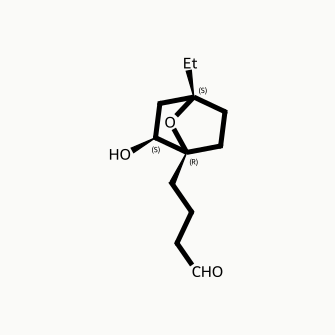 CC[C@@]12CC[C@@](CCCC=O)(O1)[C@@H](O)C2